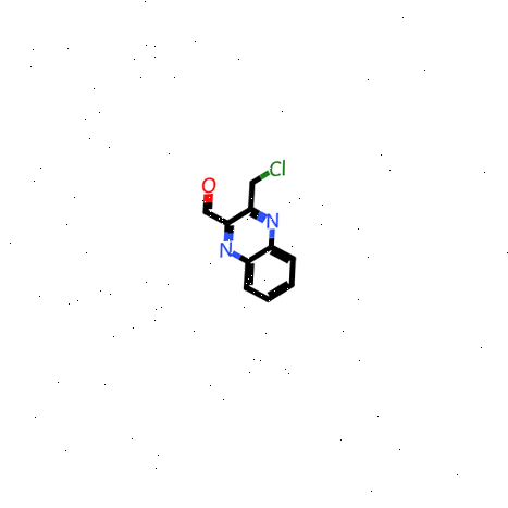 O=Cc1nc2ccccc2nc1CCl